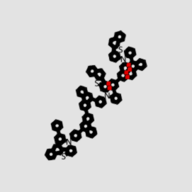 c1ccc(-c2cccc(N(c3ccc(-c4cc5cc(-c6ccc7c(c6)c(-c6cccc(N(c8ccc9c(c8)sc8c%10ccccc%10ccc98)c8ccccc8-c8cccc(-c9ccc%10ccc(N(c%11ccccc%11-c%11cc%12ccccc%12c%12ccccc%11%12)c%11cccc%12c%11sc%11c%13ccccc%13ccc%12%11)cc%10c9)c8)c6)cc6ccccc67)ccc5c5ccccc45)cc3)c3cccc4sc5c6ccccc6ccc5c34)c2)cc1